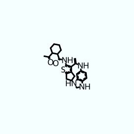 C=C(Nc1ccc2c(c1)NCN2)c1c(NC(=O)C2CCCCC2C(C)=O)sc2c1CCC2